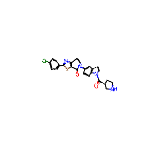 O=C1c2sc(-c3ccc(Cl)cc3)nc2CCN1c1ccc2c(c1)CCN2C(=O)[C@H]1CCNC1